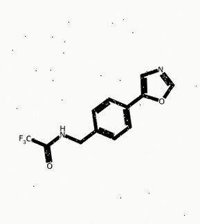 O=C(NCc1ccc(-c2cnco2)cc1)C(F)(F)F